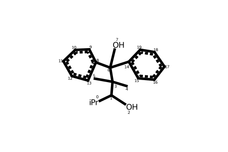 CC(C)C(O)C(C)(C)C(O)(c1ccccc1)c1ccccc1